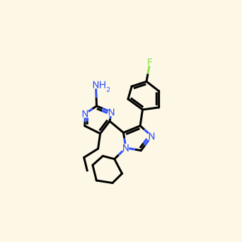 CCCc1cnc(N)nc1-c1c(-c2ccc(F)cc2)ncn1C1CCCCC1